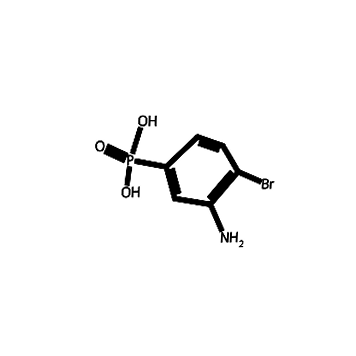 Nc1cc(P(=O)(O)O)ccc1Br